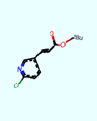 CC(C)(C)OC(=O)/C=C/c1ccc(Cl)nc1